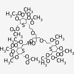 CC(=O)OC[C@H]1S[C@H](CCCOCC(CO)(COCCC[C@@H]2S[C@H](COC(C)=O)[C@@H](OC(C)=O)[C@H](OC(C)=O)[C@H]2OC(C)=O)COCCC[C@H]2S[C@H](COC(C)=O)[C@@H](OC(C)=O)[C@H](OC(C)=O)[C@@H]2OC(C)=O)[C@@H](OC(C)=O)[C@@H](OC(C)=O)[C@@H]1OC(C)=O